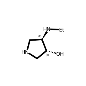 CCN[C@@H]1CNC[C@H]1O